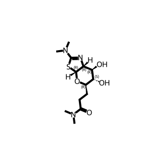 CN(C)C(=O)CC[C@H]1O[C@@H]2SC(N(C)C)=N[C@@H]2[C@@H](O)[C@@H]1O